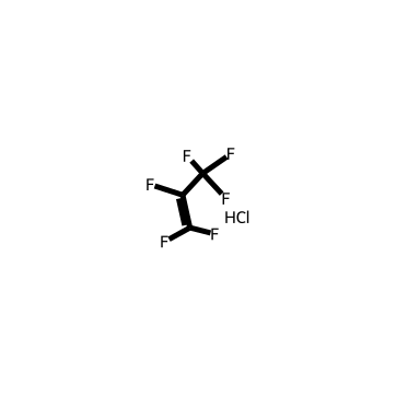 Cl.FC(F)=C(F)C(F)(F)F